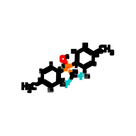 Cc1ccc(P(=O)(c2ccc(C)cc2)C(F)F)cc1